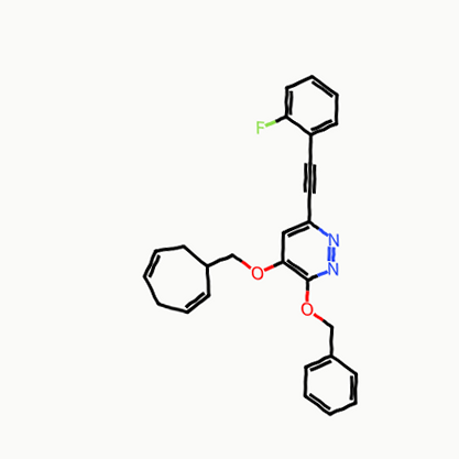 Fc1ccccc1C#Cc1cc(OCC2C=CCC=CC2)c(OCc2ccccc2)nn1